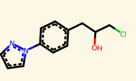 OC(CCl)Cc1ccc(-n2cccn2)cc1